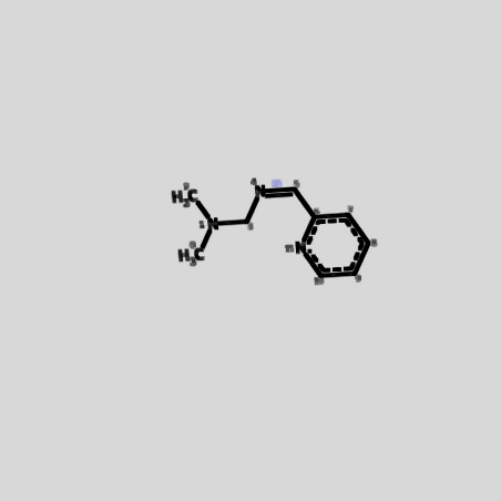 CN(C)C/N=C\c1ccccn1